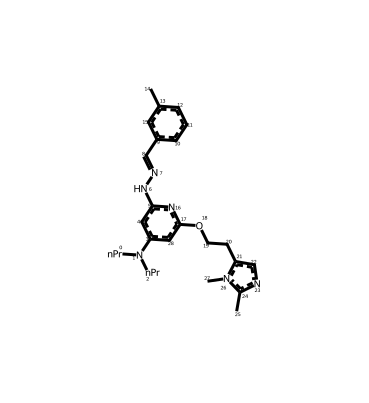 CCCN(CCC)c1cc(N/N=C/c2cccc(C)c2)nc(OCCc2cnc(C)n2C)c1